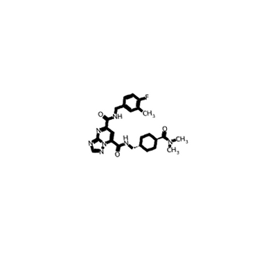 Cc1cc(CNC(=O)c2cc(C(=O)NC[C@H]3CC[C@H](C(=O)N(C)C)CC3)n3ncnc3n2)ccc1F